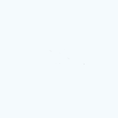 CC(c1ccccc1)N1CC2CC2(C(N)NC(=O)C(O)(c2ccccc2)C2CCCCC2)C1